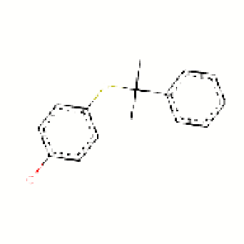 CC(C)(Sc1ccc(O)cc1)c1ccccc1